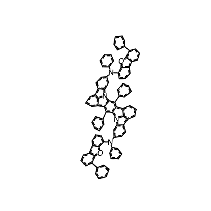 c1ccc(-c2cccc3c2oc2c(N(c4ccccc4)c4ccc5c6cccc7c8c(-c9ccccc9)c9c(c(-c%10ccccc%10)c8n(c5c4)c67)c4cccc5c6ccc(N(c7ccccc7)c7cccc8c7oc7c(-c%10ccccc%10)cccc78)cc6n9c54)cccc23)cc1